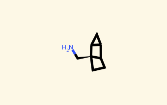 NC[C@]12CCC1C1CC12